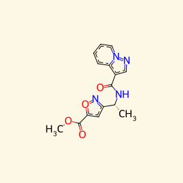 COC(=O)c1cc([C@@H](C)NC(=O)c2cnn3ccccc23)no1